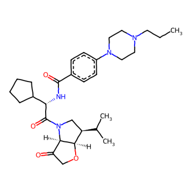 CCCN1CCN(c2ccc(C(=O)N[C@H](C(=O)N3C[C@@H](C(C)C)[C@H]4OCC(=O)[C@H]43)C3CCCC3)cc2)CC1